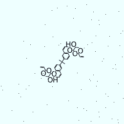 C=CC(=O)OC(Oc1ccc(C(C)(C)c2ccc(OC(OC(=O)C=C)C(C)O)c(/C=C\C)c2)cc1/C=C\C)C(C)O